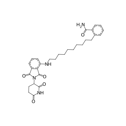 NC(=O)c1ccccc1CCCCCCCCCCNc1cccc2c1C(=O)N(C1CCC(=O)NC1=O)C2=O